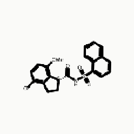 COc1ccc(Cl)c2c1[C@H](C(=O)NS(=O)(=O)c1cccc3ccccc13)CC2